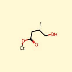 CCOC(=O)C[C@H](C)CO